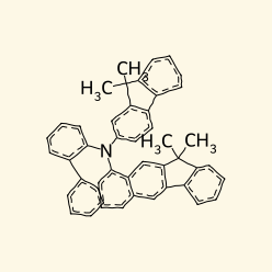 CC1(C)c2ccccc2-c2ccc(N(c3ccccc3-c3ccccc3)c3cccc4cc5c(cc34)C(C)(C)c3ccccc3-5)cc21